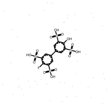 O=S(=O)(O)c1cc(-c2cc(S(=O)(=O)O)c(F)c(S(=O)(=O)O)c2)cc(S(=O)(=O)O)c1O